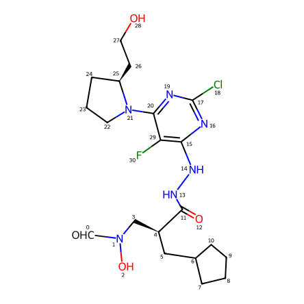 O=CN(O)C[C@H](CC1CCCC1)C(=O)NNc1nc(Cl)nc(N2CCC[C@H]2CCO)c1F